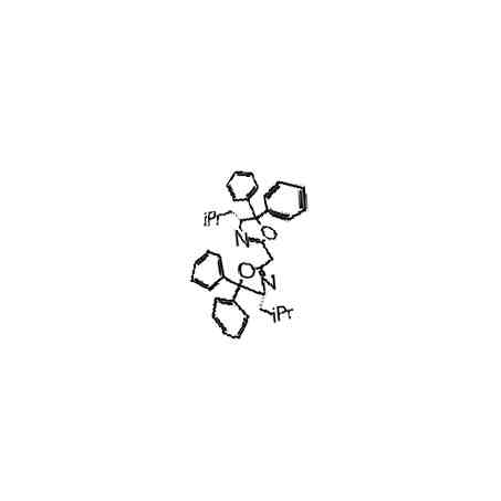 CC(C)C[C@H]1N=C(CC2=N[C@H](CC(C)C)C(c3ccccc3)(c3ccccc3)O2)OC1(c1ccccc1)c1ccccc1